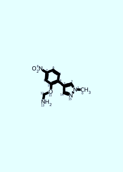 Cn1cc(-c2ccc([N+](=O)[O-])cc2OCN)cn1